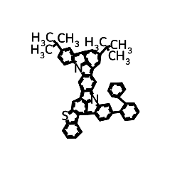 CC(C)(C)c1ccc2c(c1)c1cc(C(C)(C)C)cc3c4cc5c(cc4n2c13)c1cc2sc3ccccc3c2c2c3ccc(-c4ccccc4-c4ccccc4)cc3n5c12